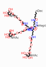 CCCCCCCCCCCCCCCC(=O)NCCCC[C@@H](NC(=O)C(CCCCNC(=O)COCCOCCOCCO[C@@H]1O[C@H](CO)[C@H](O)[C@H](O)[C@H]1NC(C)=O)NC(=O)[C@H](CCCCNC(=O)COCCOCCOCCO[C@@H]1O[C@H](CO)[C@H](O)[C@H](O)[C@H]1NC(C)=O)NC(=O)COCCOCCOCCO[C@@H]1O[C@H](CO)[C@H](O)[C@H](O)[C@H]1NC(C)=O)C(=O)NCCCCCCC